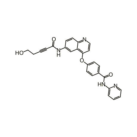 O=C(C#CCCO)Nc1ccc2nccc(Oc3ccc(C(=O)Nc4ccccn4)cc3)c2c1